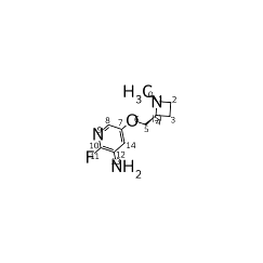 CN1CC[C@H]1COc1cnc(F)c(N)c1